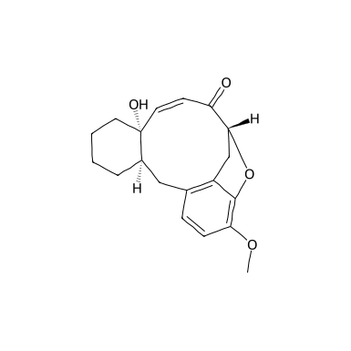 COc1ccc2c3c1O[C@H](C3)C(=O)/C=C\[C@]1(O)CCCC[C@@H]1C2